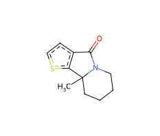 CC12CCCCN1C(=O)c1ccsc12